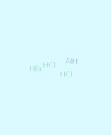 Br.Cl.Cl.[AlH3]